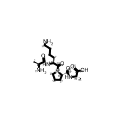 C[C@H](N)C(=O)N[C@@H](CCCCN)C(=O)N1CCC[C@H]1C(=O)N[C@@H](C)C(=O)O